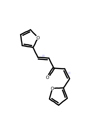 O=C(/C=C\c1ccco1)/C=C/c1ccco1